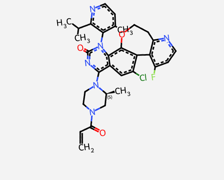 C=CC(=O)N1CCN(c2nc(=O)n(-c3c(C)ccnc3C(C)C)c3c4c(c(Cl)cc23)-c2c(F)ccnc2CCO4)[C@@H](C)C1